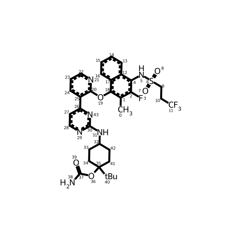 Cc1c(F)c(NS(=O)(=O)CCC(F)(F)F)c2ccccc2c1Oc1ncccc1-c1ccnc(NC2CCC(OC(N)=O)(C(C)(C)C)CC2)n1